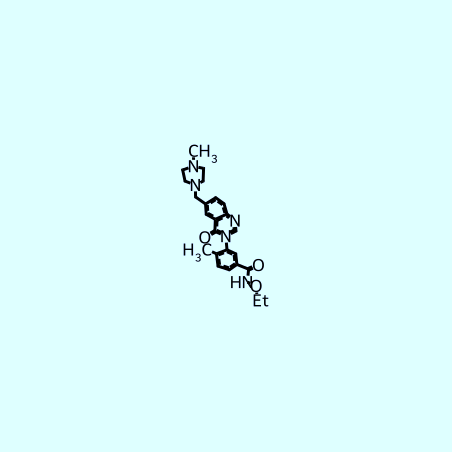 CCONC(=O)c1ccc(C)c(-n2cnc3ccc(CN4CCN(C)CC4)cc3c2=O)c1